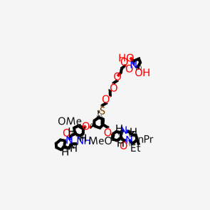 CCCC1(C)C[C@H]2C=N[C@H]3CC(OCC4=C[C@@H](CSCCOCCOCCOCCC(=O)ON5C(O)CC[C@@H]5O)C[C@@H](COC5=C(OC)C[C@@H]6C(=O)N7C8CCCC[C@@H]8C[C@H]7CN[C@@H]6C5)C4)=C(OC)C[C@H]3C(=O)N2[C@H]1CC